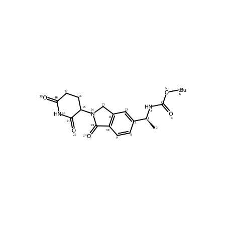 C[C@H](NC(=O)OC(C)(C)C)c1ccc2c(c1)CN(C1CCC(=O)NC1=O)C2=O